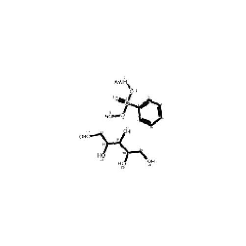 CC(=O)NO[As](=O)(OO)c1ccccc1.O=CCC(O)C(O)C(O)CO